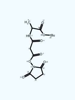 CC(NC(=O)CC(=O)ON1C(=O)CCC1=O)C(=O)OC(C)(C)C